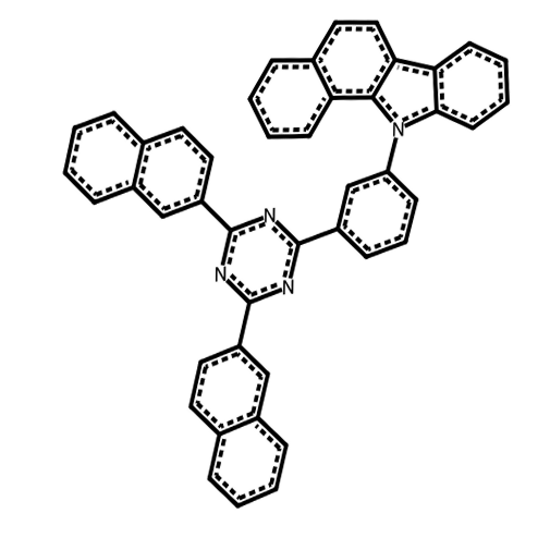 c1cc(-c2nc(-c3ccc4ccccc4c3)nc(-c3ccc4ccccc4c3)n2)cc(-n2c3ccccc3c3ccc4ccccc4c32)c1